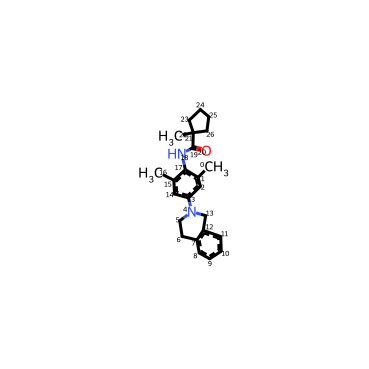 Cc1cc(N2CCc3ccccc3C2)cc(C)c1NC(=O)C1(C)CCCC1